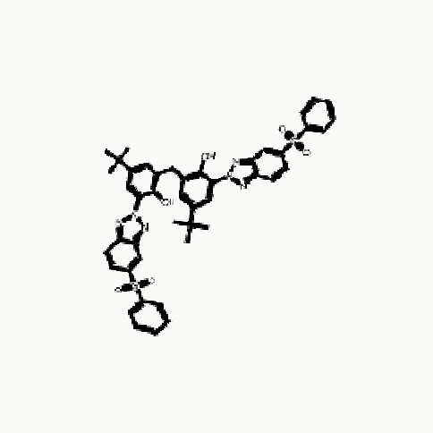 CC(C)(C)c1cc(Cc2cc(C(C)(C)C)cc(-n3nc4ccc(S(=O)(=O)c5ccccc5)cc4n3)c2O)c(O)c(-n2nc3ccc(S(=O)(=O)c4ccccc4)cc3n2)c1